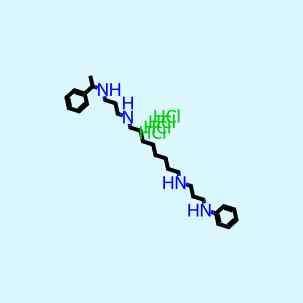 CC(NCCCNCCCCCCCCNCCCNc1ccccc1)c1ccccc1.Cl.Cl.Cl.Cl